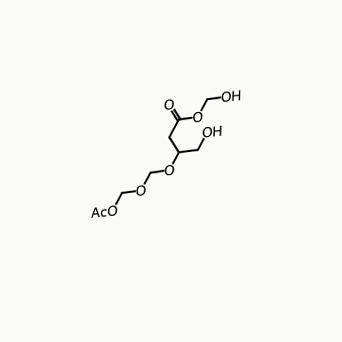 CC(=O)OCOCOC(CO)CC(=O)OCO